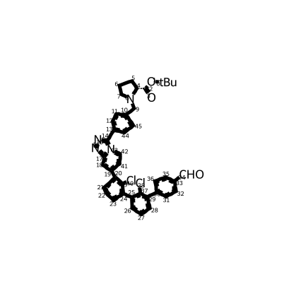 CC(C)(C)OC(=O)[C@H]1CCCN1Cc1ccc(-c2nnc3cc(-c4cccc(-c5cccc(-c6ccc(C=O)cc6)c5Cl)c4Cl)ccn23)cc1